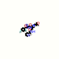 CC1(CN2CC(CC(=O)NC(C)(C)c3ccccn3)(NC(=O)c3cc(-c4ccc(F)cc4F)on3)C2)COC1